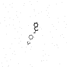 O=C(N[C@H]1CC[C@H](N2CC(F)C2)CC1)c1cnc2cc(O)c(F)cc2c1